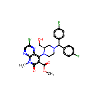 COC(=O)c1c(N2CCN(C(c3ccc(F)cc3)c3ccc(F)cc3)C[C@@H]2CO)c2nc(Br)cnc2n(C)c1=O